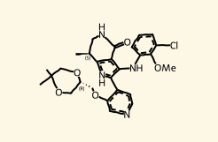 COc1c(Cl)cccc1Nc1c(-c2ccncc2OC[C@@H]2COC(C)(C)CO2)[nH]c2c1C(=O)NC[C@@H]2C